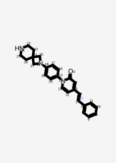 O=c1cc(/C=C/c2ccccc2)ccn1-c1ccc(N2CC3(CCNCC3)C2)cc1